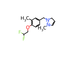 Cc1cc(CN2CC=CN2C)ccc1OCC(F)F